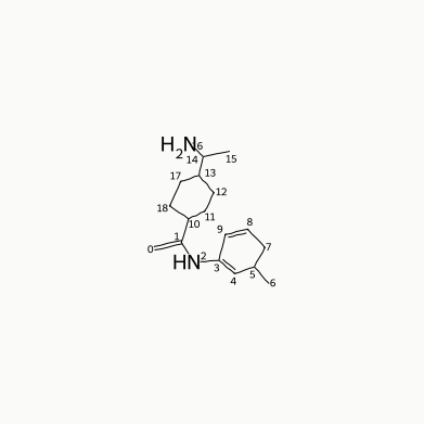 C=C(NC1=CC(C)CC=C1)C1CCC(C(C)N)CC1